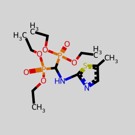 CCOP(=O)(OCC)C(Nc1ncc(C)s1)P(=O)(OCC)OCC